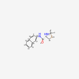 CC1(C)N[C@@H](C(=O)Nc2ccc3ccccc3c2)CS1